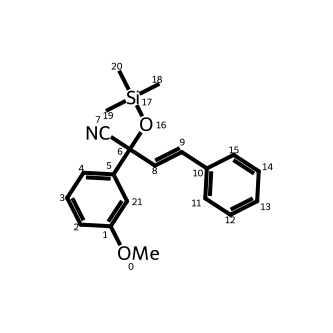 COc1cccc(C(C#N)(/C=C/c2ccccc2)O[Si](C)(C)C)c1